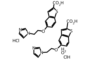 Cl.Cl.O.O=C(O)c1cc2cc(OCCn3ccnc3)ccc2s1.O=C(O)c1cc2cc(OCCn3ccnc3)ccc2s1